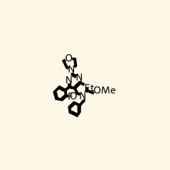 CCC(COC)N(Cc1ccccc1)C(=O)c1c(C)nc(N2CCOCC2)nc1-c1ccccc1F